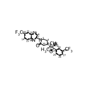 CC(C)([C@H]1CCN(c2cnc3cc(C(F)(F)F)ccc3n2)C(=O)C1)S(=O)(=O)c1cccc(C(F)(F)F)c1